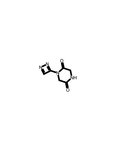 O=C1CN(C2=NN=C2)C(=O)CN1